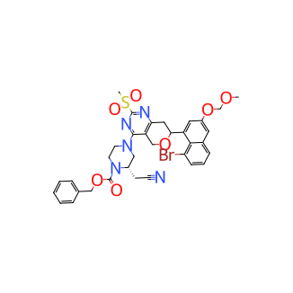 COCOc1cc(C2Cc3nc(S(C)(=O)=O)nc(N4CCN(C(=O)OCc5ccccc5)[C@@H](CC#N)C4)c3CO2)c2c(Br)cccc2c1